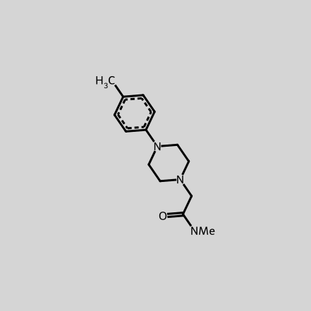 CNC(=O)CN1CCN(c2ccc(C)cc2)CC1